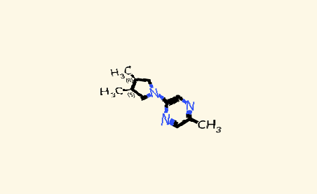 Cc1cnc(N2C[C@@H](C)[C@@H](C)C2)cn1